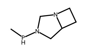 CPN1CC2CCN2C1